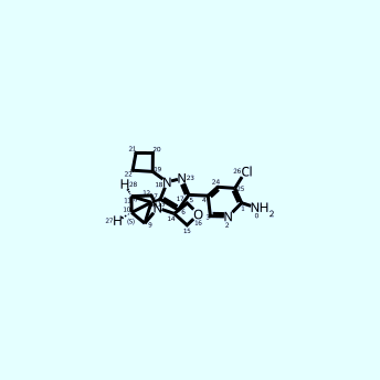 Nc1ncc(-c2cc([C@@]34C5[C@H]3[C@H]4CN5C3COC3)n(C3CCC3)n2)cc1Cl